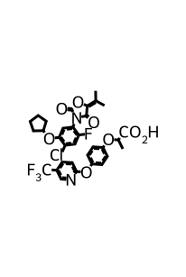 CC(C)=C1OC(=O)N(c2cc(OC3CCCC3)c(Cl)cc2F)C1=O.CC(Oc1ccc(Oc2ccc(C(F)(F)F)cn2)cc1)C(=O)O